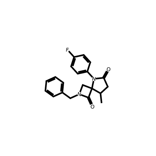 CC1CC(=O)N(c2ccc(F)cc2)C12CN(Cc1ccccc1)C2=O